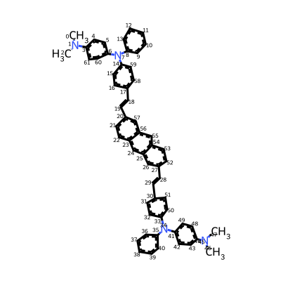 CN(C)c1ccc(N(c2ccccc2)c2ccc(C=Cc3ccc4cc5cc(C=Cc6ccc(N(c7ccccc7)c7ccc(N(C)C)cc7)cc6)ccc5cc4c3)cc2)cc1